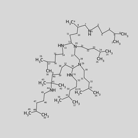 CC(C)CCCNCC(C)CCC(NCCCC(C)C)N(CCCC(C)C)CCN(CCCC(C)C)C(CCCCC(C)(C)NCCCC(C)C)NCCCC(C)C